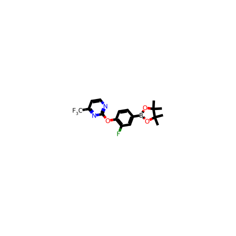 CC1(C)OB(c2ccc(Oc3nccc(C(F)(F)F)n3)c(F)c2)OC1(C)C